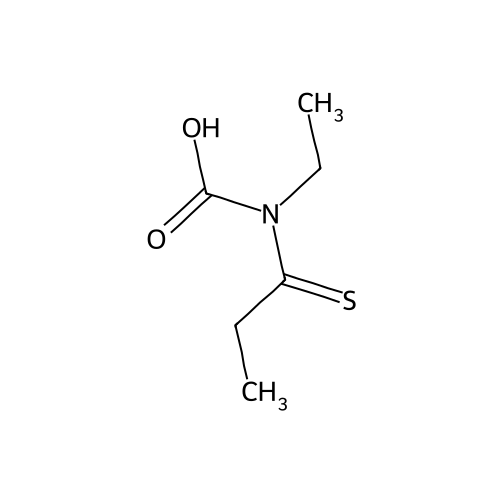 CCC(=S)N(CC)C(=O)O